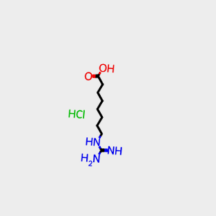 Cl.N=C(N)NCCCCCCCC(=O)O